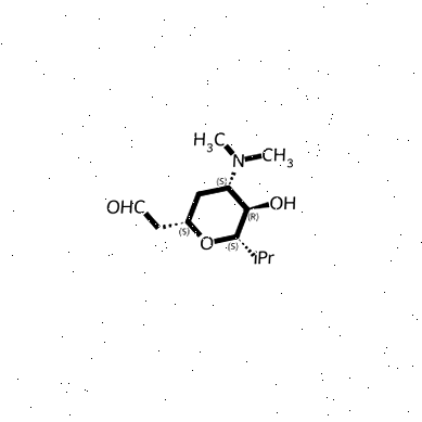 CC(C)[C@@H]1O[C@H](CC=O)C[C@H](N(C)C)[C@H]1O